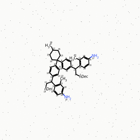 CCCCCCCCCCCC(c1ccc(C2(c3ccc(C(CCCCCCCCCCC)c4ccc(N)cc4C)cc3)CCC(C)CC2)cc1)c1ccc(N)cc1C